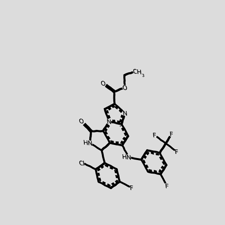 CCOC(=O)c1cn2c3c(c(Nc4cc(F)cc(C(F)(F)F)c4)cc2n1)C(c1cc(F)ccc1Cl)NC3=O